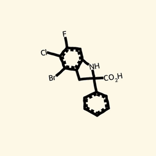 O=C(O)C1(c2ccccc2)Cc2c(cc(F)c(Cl)c2Br)N1